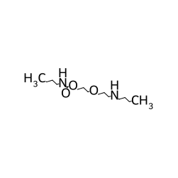 CCCCNCCCOCCCOC(=O)NCCCC